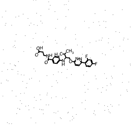 CC(C)C(COc1ccc(-c2ccc(F)cc2F)nn1)Nc1ccc(C(=O)NCCC(=O)O)cc1